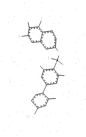 Cc1ccc(-c2cc(F)c(C(F)(F)Oc3ccc4c(F)c(I)c(F)cc4c3)c(F)c2)c(F)c1